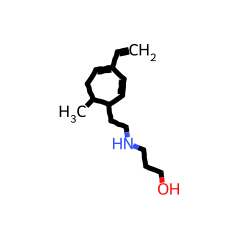 C=CC1=CCC(C)C(CCNCCCO)C=C1